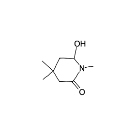 CN1C(=O)CC(C)(C)CC1O